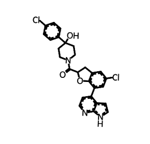 O=C(C1Cc2cc(Cl)cc(-c3ccnc4[nH]ccc34)c2O1)N1CCC(O)(c2ccc(Cl)cc2)CC1